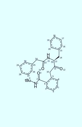 CC(C)(C)NC(=O)c1ccccc1CC(=O)[C@H](Cc1ccccc1)NC(=O)Cc1ccccc1